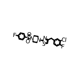 O=S(=O)(c1ccc(F)cc1)N1CCN(c2nc(Cc3ccc(F)c(Cl)c3)cs2)CC1